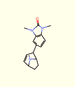 CN1C2C=CC(c3ccc4c(c3)n(C)c(=O)n4C)C1CC2